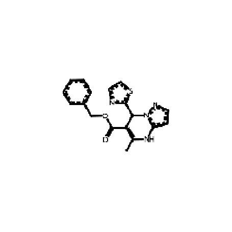 CC1=C(C(=O)OCc2ccccc2)C(c2nccs2)n2nccc2N1